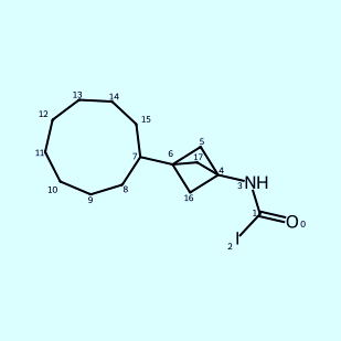 O=C(I)NC12CC(C3CCCCCCCC3)(C1)C2